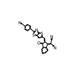 N#CC(C#N)=C1/C(=C/c2cc3sc(-c4ccc(C#N)cc4)nc3s2)C(=O)c2ccccc21